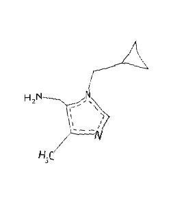 Cc1ncn(CC2CC2)c1N